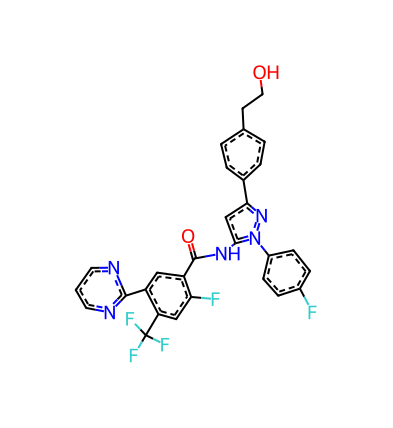 O=C(Nc1cc(-c2ccc(CCO)cc2)nn1-c1ccc(F)cc1)c1cc(-c2ncccn2)c(C(F)(F)F)cc1F